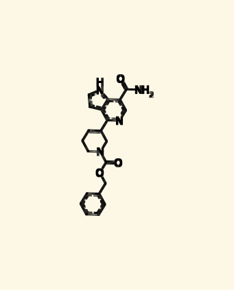 NC(=O)c1cnc(C2=CCCN(C(=O)OCc3ccccc3)C2)c2cc[nH]c12